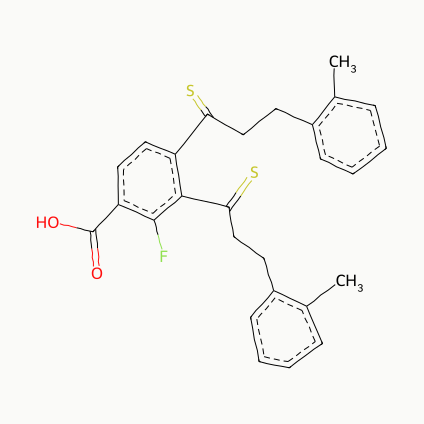 Cc1ccccc1CCC(=S)c1ccc(C(=O)O)c(F)c1C(=S)CCc1ccccc1C